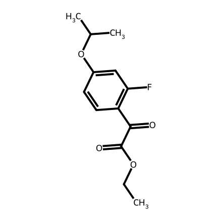 CCOC(=O)C(=O)c1ccc(OC(C)C)cc1F